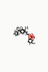 Cc1cccc(S(=O)(=O)OCCCc2ccc(C(C(=O)O)C3CCCC3)cc2)c1